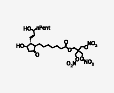 CCCCC[C@H](O)C=C[C@H]1[C@H](O)CC(=O)[C@@H]1CCCCCCC(=O)OCC(CO[N+](=O)[O-])(CO[N+](=O)[O-])CO[N+](=O)[O-]